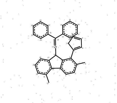 Cc1ccc2c(c1C1=CC=CC1)[CH]([Zr]=[C](c1ccccc1)c1ccccc1)c1cccc(C)c1-2